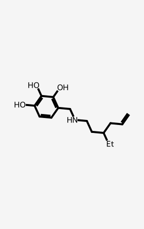 C=CCC(CC)CCNCc1ccc(O)c(O)c1O